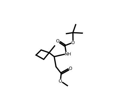 COC(=O)CC(NC(=O)OC(C)(C)C)C1(C)CCC1